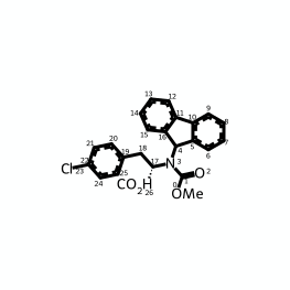 COC(=O)N(C1c2ccccc2-c2ccccc21)[C@@H](Cc1ccc(Cl)cc1)C(=O)O